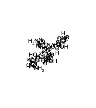 COC[C@H]1[C@@H](O)[C@H](n2c[n+](C)c3c(=O)[nH]c(N)nc32)O[C@@H]1COP(=O)([O-])OP(=O)(O)OP(=O)(O)OC[C@H]1O[C@@H](n2cnc3c(N)ncnc32)[C@H](OC)[C@@H]1OCOC[C@H]1O[C@@H](n2ccc(=O)[nH]c2=O)[C@H](O)[C@@H]1O